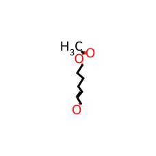 CC(=O)OCCCC/C=C/C=O